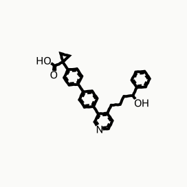 O=C(O)C1(c2ccc(-c3ccc(-c4cnccc4CCCC(O)c4ccccc4)cc3)cc2)CC1